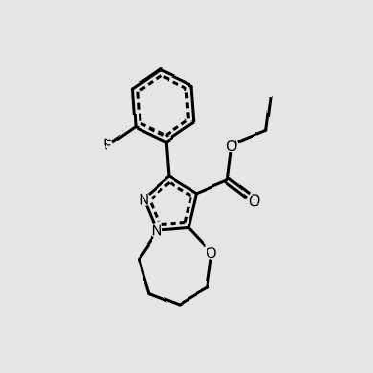 CCOC(=O)c1c(-c2ccccc2F)nn2c1OCCCC2